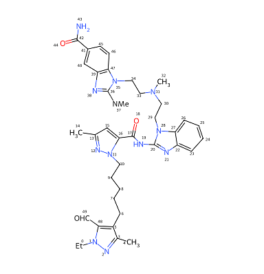 CCn1nc(C)c(CCCCCn2nc(C)cc2C(=O)Nc2nc3ccccc3n2CCN(C)CCn2c(NC)nc3cc(C(N)=O)ccc32)c1C=O